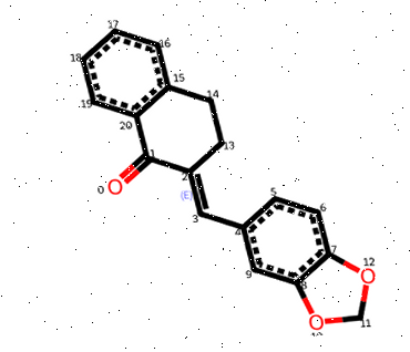 O=C1/C(=C/c2ccc3c(c2)OCO3)CCc2ccccc21